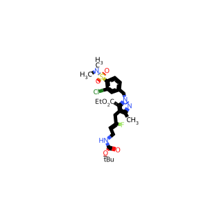 CCOC(=O)c1c(C/C(F)=C/CNC(=O)OC(C)(C)C)c(C)nn1Cc1ccc(S(=O)(=O)N(C)C)c(Cl)c1